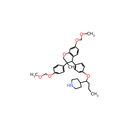 CCCC(Oc1ccc(C2c3ccc(OCOC)cc3OCC2(C)c2ccc(OCOC)cc2)cc1)C1CCNCC1